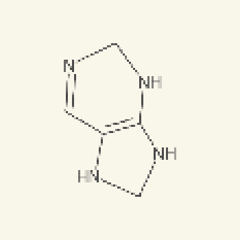 C1=NCNC2=C1NCN2